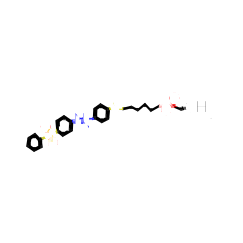 C=CC(=O)OCCCCCCSc1ccc(/N=N/c2ccc(S(=O)(=O)c3ccccc3)cc2)cc1